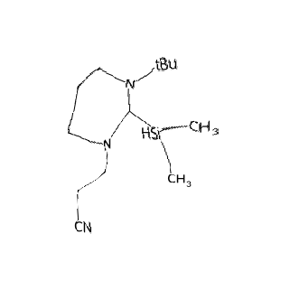 C[SiH](C)C1N(CCC#N)CCCN1C(C)(C)C